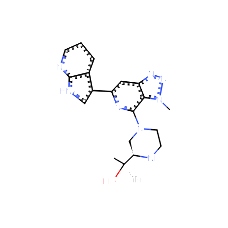 CC(C)[C@@](C)(O)[C@H]1CN(c2nc(-c3c[nH]c4ncccc34)cc3nnn(C)c23)CCN1